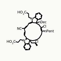 C=C(Cl)CC12CCCC/C(CCCCC)=C(/Cl)CC3(CCCCCCCCCC)\C(=C/C=C(C#N)/C=C/C1=[N+](CCC(=O)O)c1ccccc12)N(CCC(=O)O)c1ccccc13